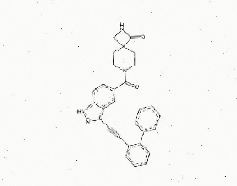 O=C(c1ccc2[nH]nc(C#Cc3ccccc3-c3ccccc3)c2c1)N1CCC2(CC1)CNC2=O